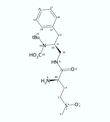 C[S+]([O-])CC[C@@H](N)C(=O)NC[C@H](Cc1ccccc1)N(C(=O)O)C(C)(C)C